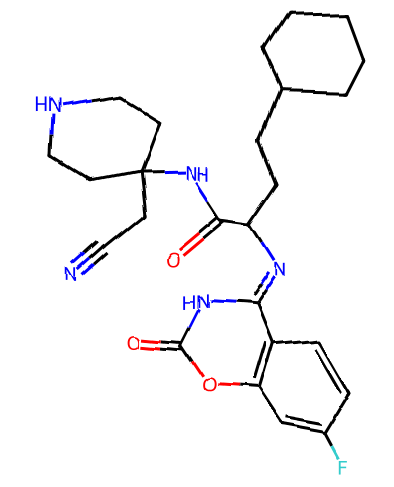 N#CCC1(NC(=O)C(CCC2CCCCC2)N=c2[nH]c(=O)oc3cc(F)ccc23)CCNCC1